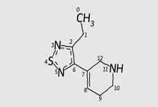 CCc1nsnc1C1=CCCNC1